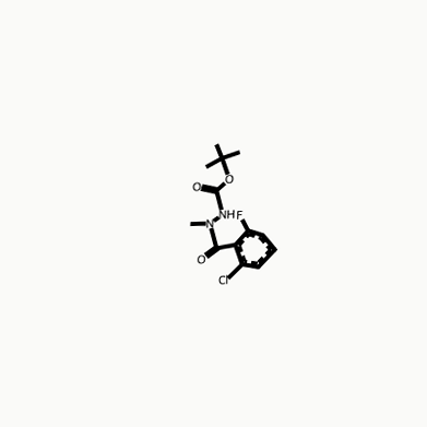 CN(NC(=O)OC(C)(C)C)C(=O)c1c(F)cccc1Cl